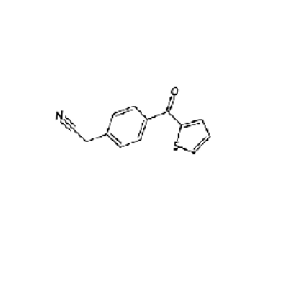 N#CCc1ccc(C(=O)c2cccs2)cc1